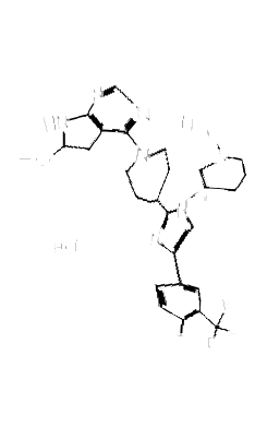 CN1CCC[C@@H](n2cc(-c3ccc(F)c(C(F)(F)F)c3)nc2C2CCN(c3ncnc4c3CC(O)N4)CC2)C1.Cl